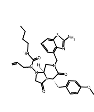 C=CCN(C(=O)NCCCC)N1CC(=O)N2[C@@H](Cc3ccc(OC)cc3)C(=O)N(Cc3cccc4sc(N)nc34)C[C@@H]21